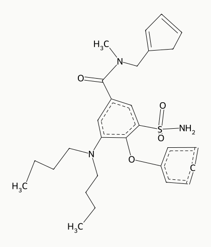 CCCCN(CCCC)c1cc(C(=O)N(C)CC2=CC=CC2)cc(S(N)(=O)=O)c1Oc1ccccc1